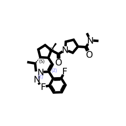 C/N=N\C(=C/C1[C@H](C(C)C)CC[C@]1(C)C(=O)N1CCC(C(=O)N(C)C)C1)c1c(F)cccc1F